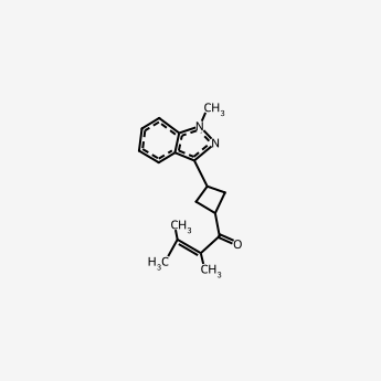 CC(C)=C(C)C(=O)C1CC(c2nn(C)c3ccccc23)C1